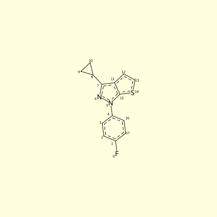 Fc1ccc(-n2nc(C3CC3)c3c[c]sc32)cc1